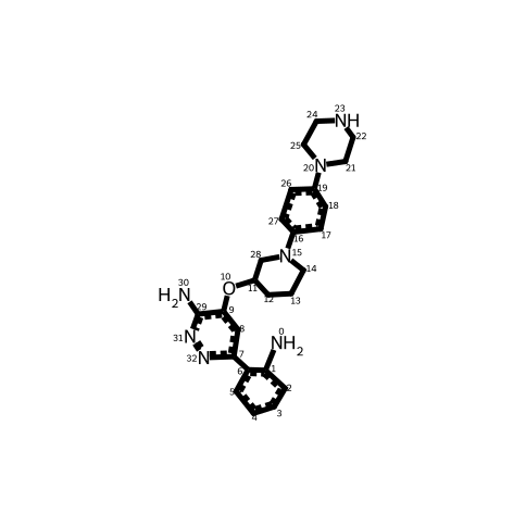 Nc1ccccc1-c1cc(OC2CCCN(c3ccc(N4CCNCC4)cc3)C2)c(N)nn1